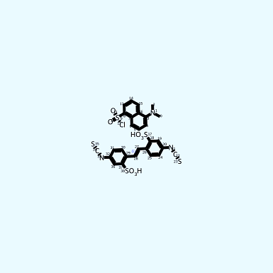 CN(C)c1cccc2c(S(=O)(=O)Cl)cccc12.O=S(=O)(O)c1cc(N=C=S)ccc1/C=C/c1ccc(N=C=S)cc1S(=O)(=O)O